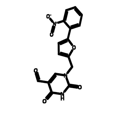 O=Cc1cn(Cc2ccc(-c3ccccc3[N+](=O)[O-])o2)c(=O)[nH]c1=O